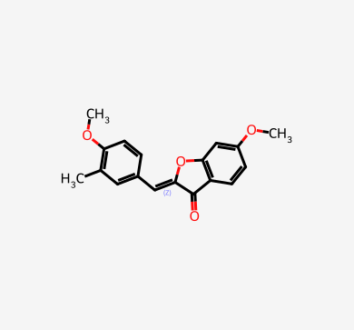 COc1ccc2c(c1)O/C(=C\c1ccc(OC)c(C)c1)C2=O